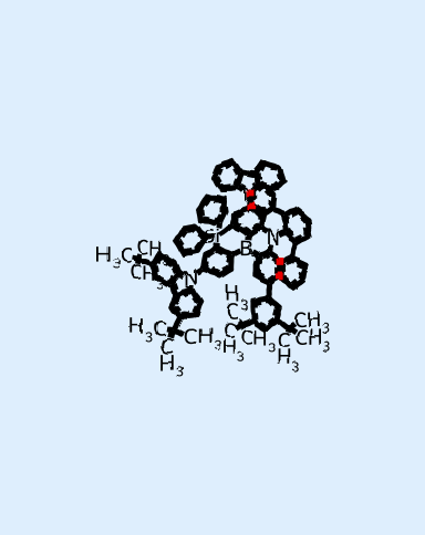 CC(C)(C)c1cc(-c2ccc3c(c2)B2c4ccc(-n5c6ccc(C(C)(C)C)cc6c6cc(C(C)(C)C)ccc65)cc4[Si](c4ccccc4)(c4ccccc4)c4cc(-n5c6ccccc6c6ccccc65)cc(c42)N3c2c(-c3ccccc3)cccc2-c2ccccc2)cc(C(C)(C)C)c1